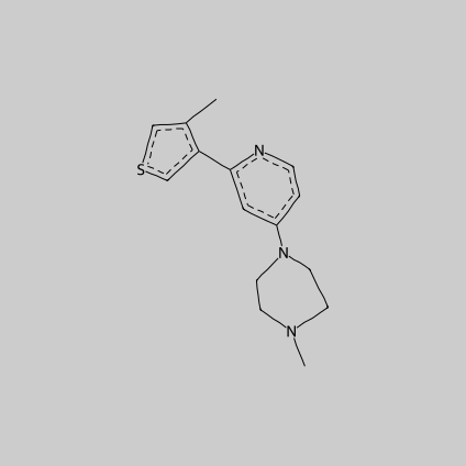 Cc1cscc1-c1cc(N2CCN(C)CC2)ccn1